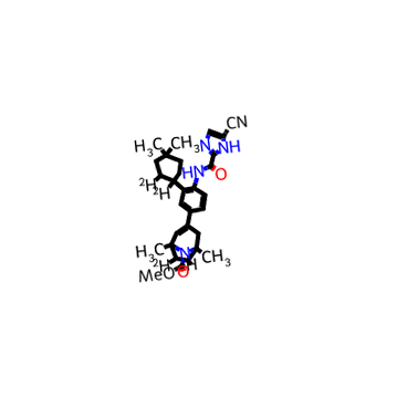 [2H]C1CC(C)(C)CCC1([2H])c1cc(C2=CC3(C)C([2H])C([2H])C(C)(C2)N3C(=O)OC)ccc1NC(=O)c1ncc(C#N)[nH]1